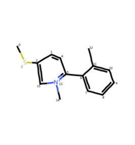 CSc1ccc(-c2ccccc2C)[n+](C)c1